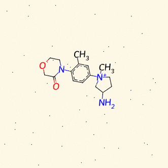 Cc1cc([N+]2(C)CCC(N)C2)ccc1N1CCOCC1=O